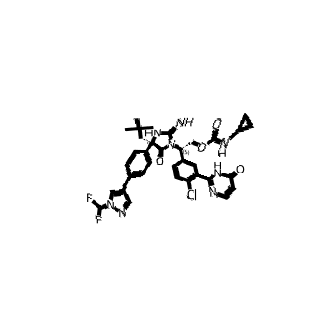 CC(C)(C)C[C@]1(c2ccc(-c3cnn(C(F)F)c3)cc2)NC(=N)N([C@H](COC(=O)NC2CC2)c2ccc(Cl)c(-c3nccc(=O)[nH]3)c2)C1=O